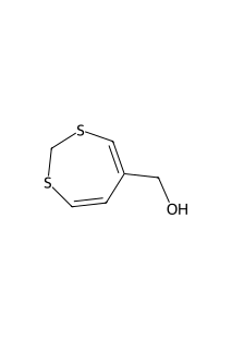 OCC1=CSCSC=C1